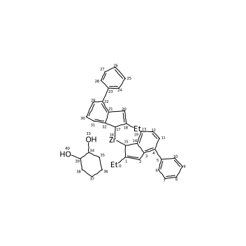 CCC1=Cc2c(-c3ccccc3)cccc2[CH]1[Zr][CH]1C(CC)=Cc2c(-c3ccccc3)cccc21.OC1CCCCC1O